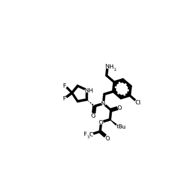 CC(C)(C)[C@@H](OC(=O)C(F)(F)F)C(=O)N(Cc1cc(Cl)ccc1CN)C(=O)[C@@H]1CC(F)(F)CN1